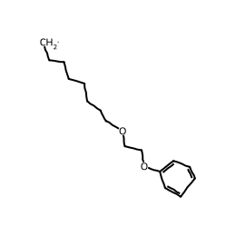 [CH2]CCCCCCCOCCOc1ccccc1